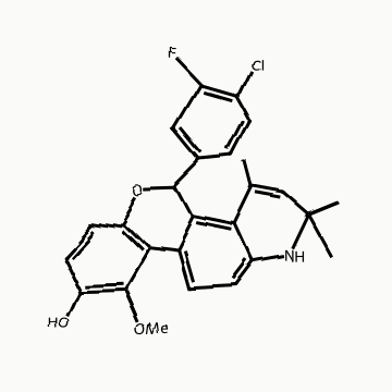 COc1c(O)ccc2c1-c1ccc3c(c1C(c1ccc(Cl)c(F)c1)O2)C(C)=CC(C)(C)N3